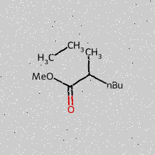 CC.CCCCC(C)C(=O)OC